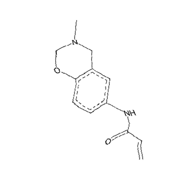 C=CC(=O)Nc1ccc2c(c1)CN(C)CO2